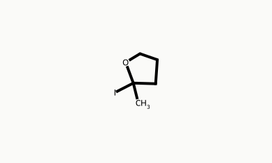 CC1(I)CCCO1